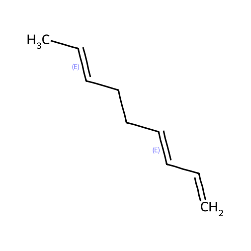 C=C/C=C/CC/C=C/C